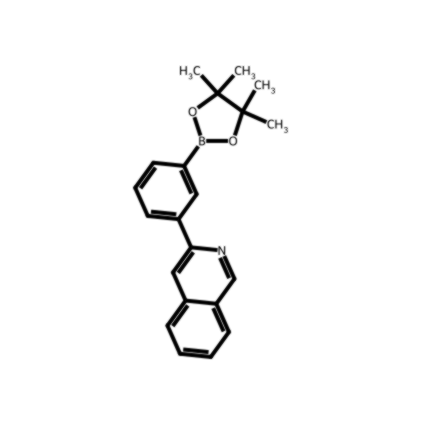 CC1(C)OB(c2cccc(-c3cc4ccccc4cn3)c2)OC1(C)C